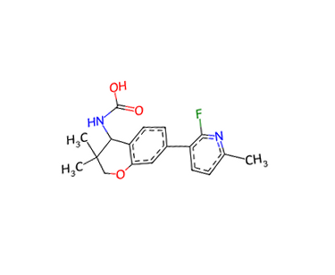 Cc1ccc(-c2ccc3c(c2)OCC(C)(C)C3NC(=O)O)c(F)n1